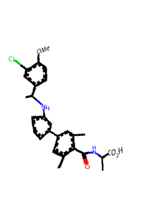 COc1ccc(C(C)Nc2cccc(-c3cc(C)c(C(=O)NC(C)C(=O)O)c(C)c3)c2)cc1Cl